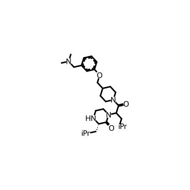 CC(C)CC(C(=O)N1CCC(COc2cccc(CN(C)C)c2)CC1)N1CCN[C@@H](CC(C)C)C1=O